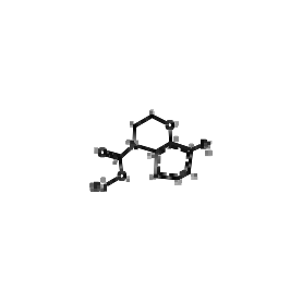 CC(C)(C)OC(=O)N1CCOc2c(Br)cccc21